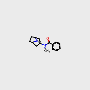 CC(=O)N1C2CCC1CC(N(C)C(=O)c1ccccc1)C2